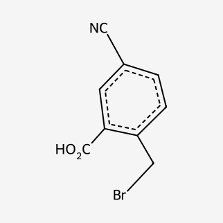 N#Cc1ccc(CBr)c(C(=O)O)c1